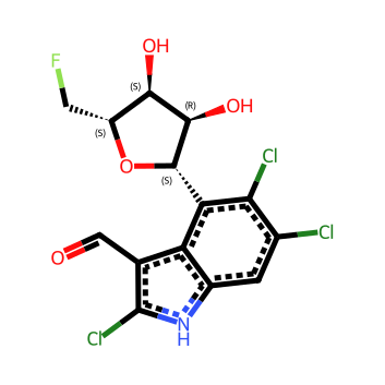 O=Cc1c(Cl)[nH]c2cc(Cl)c(Cl)c([C@@H]3O[C@H](CF)[C@@H](O)[C@H]3O)c12